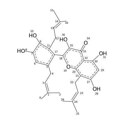 CC(C)=CCc1cc(O)c(O)c(CC=C(C)C)c1-c1oc2c(CC=C(C)C)c(O)cc(O)c2c(=O)c1O